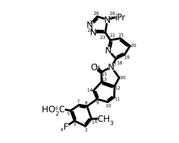 Cc1cc(F)c(C(=O)O)cc1-c1ccc2c(c1)C(=O)N(c1cccc(-c3nncn3C(C)C)n1)C2